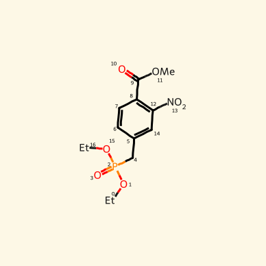 CCOP(=O)(Cc1ccc(C(=O)OC)c([N+](=O)[O-])c1)OCC